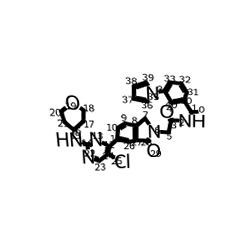 CC(NC(=O)CN1Cc2ccc(-c3nc(NC4CCOCC4)ncc3Cl)cc2C1=O)c1cccc(-n2cccc2)c1